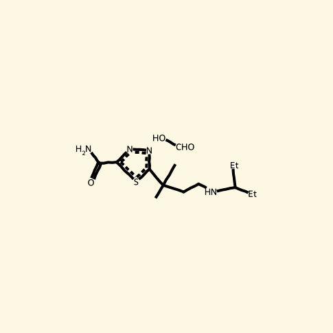 CCC(CC)NCCC(C)(C)c1nnc(C(N)=O)s1.O=CO